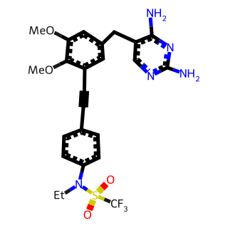 CCN(c1ccc(C#Cc2cc(Cc3cnc(N)nc3N)cc(OC)c2OC)cc1)S(=O)(=O)C(F)(F)F